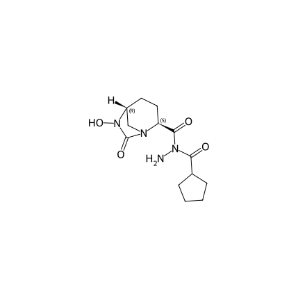 NN(C(=O)C1CCCC1)C(=O)[C@@H]1CC[C@@H]2CN1C(=O)N2O